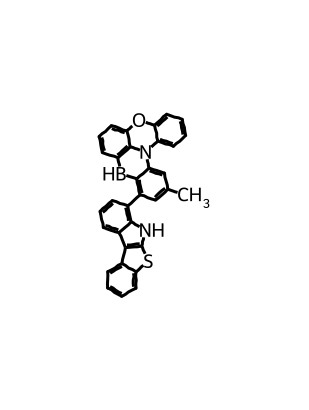 Cc1cc(-c2cccc3c2[nH]c2sc4ccccc4c23)c2c(c1)N1c3ccccc3Oc3cccc(c31)B2